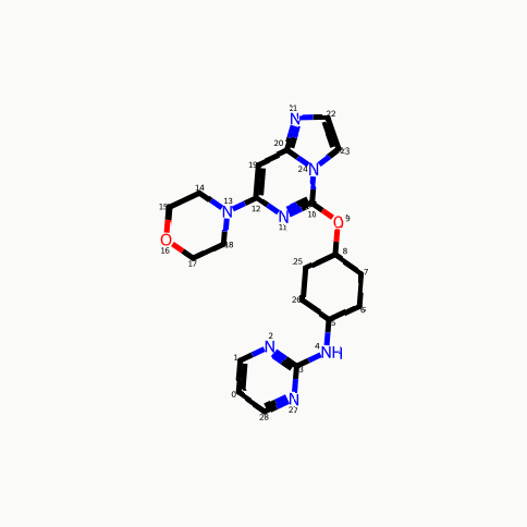 c1cnc(NC2CCC(Oc3nc(N4CCOCC4)cc4nccn34)CC2)nc1